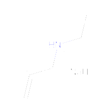 [CH2]CNCC=C.[NaH]